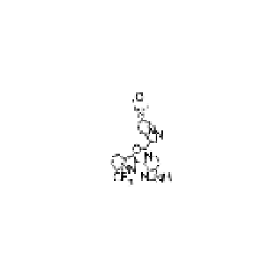 O=C(c1cnn2cc(N3CCOCC3)ccc12)N1CCc2[nH]cnc2C1c1cc2cccc(C(F)(F)F)n2n1